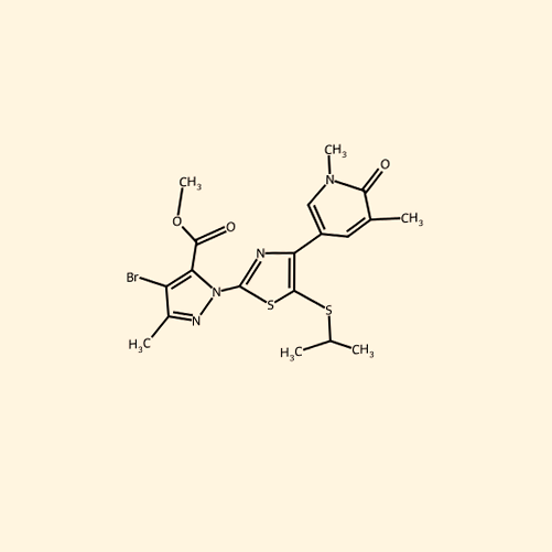 COC(=O)c1c(Br)c(C)nn1-c1nc(-c2cc(C)c(=O)n(C)c2)c(SC(C)C)s1